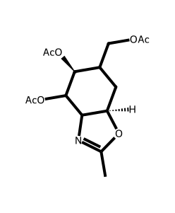 CC(=O)OCC1C[C@H]2OC(C)=NC2C(OC(C)=O)[C@H]1OC(C)=O